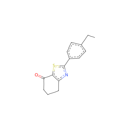 CCc1ccc(-c2nc3c(s2)C(=O)CCC3)cc1